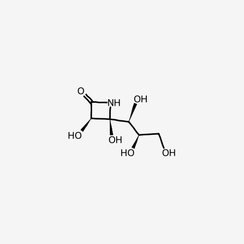 O=C1N[C@](O)([C@@H](O)[C@H](O)CO)[C@H]1O